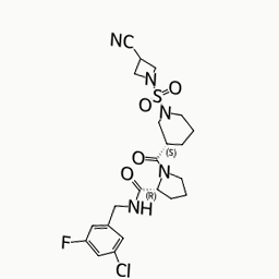 N#CC1CN(S(=O)(=O)N2CCC[C@H](C(=O)N3CCC[C@@H]3C(=O)NCc3cc(F)cc(Cl)c3)C2)C1